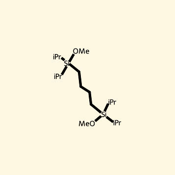 CO[Si](CCCC[Si](OC)(C(C)C)C(C)C)(C(C)C)C(C)C